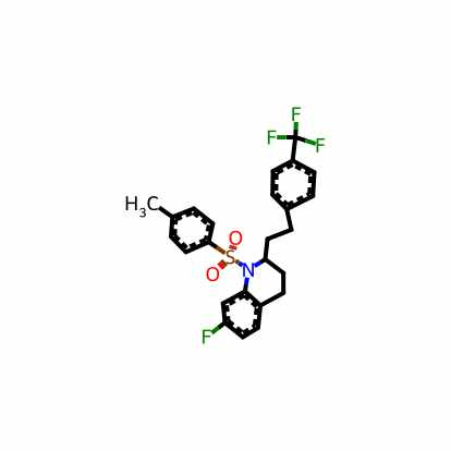 Cc1ccc(S(=O)(=O)N2c3cc(F)ccc3CCC2CCc2ccc(C(F)(F)F)cc2)cc1